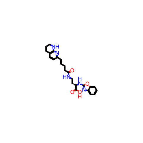 O=C(CCCCc1ccc2c(n1)NCCC2)NCC[C@@H](Nc1nc2ccccc2o1)C(=O)O